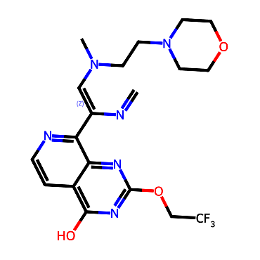 C=N/C(=C\N(C)CCN1CCOCC1)c1nccc2c(O)nc(OCC(F)(F)F)nc12